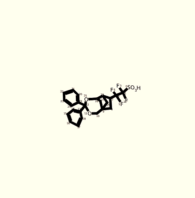 O=S(=O)(O)C(F)(F)C(F)(F)C1CC23COC(c4ccccc4)(c4ccccc4)OC(C2)C1C3